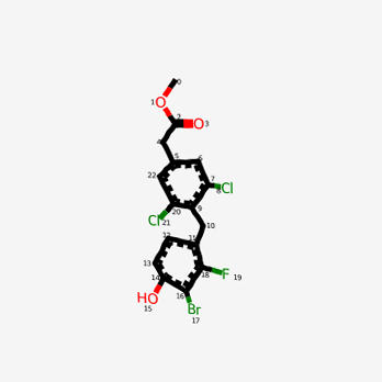 COC(=O)Cc1cc(Cl)c(Cc2ccc(O)c(Br)c2F)c(Cl)c1